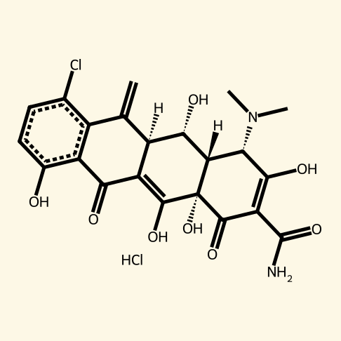 C=C1c2c(Cl)ccc(O)c2C(=O)C2=C(O)[C@]3(O)C(=O)C(C(N)=O)=C(O)[C@@H](N(C)C)[C@H]3[C@@H](O)[C@H]12.Cl